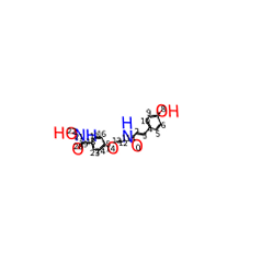 O=C(/C=C/c1ccc(O)cc1)NCCOc1ccc(C(=O)NO)cc1